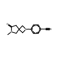 CN1CC2(CC1=O)CN(c1ccc(C#N)cc1)C2